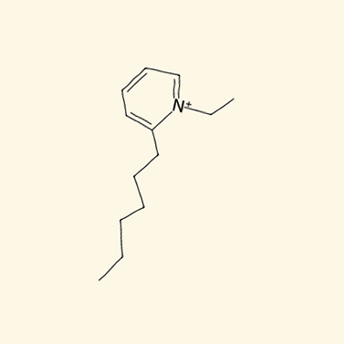 CCCCCCc1cccc[n+]1CC